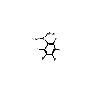 CCCCCCCCCN(CCCCCC)c1c(F)c(F)c(F)c(F)c1F